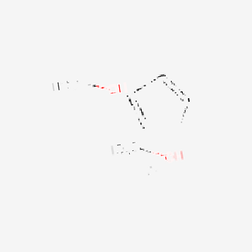 C1=CCC=C1.O=C(O)O.O=C(O)O.[Co]